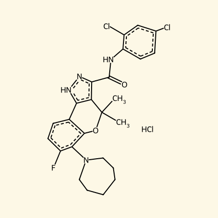 CC1(C)Oc2c(ccc(F)c2N2CCCCCC2)-c2[nH]nc(C(=O)Nc3ccc(Cl)cc3Cl)c21.Cl